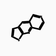 c1cc2nc3sccc3cc2cn1